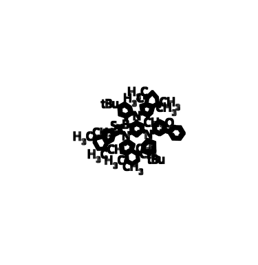 Cc1cc2c(cc1N1c3ccc(C(C)(C)C)cc3B3c4sc5cc6c(cc5c4N(c4ccc5c(c4)C(C)(C)CCC5(C)C)c4cc(N(c5ccc(C(C)(C)C)cc5)c5ccc7oc8ccccc8c7c5)cc1c43)C(C)(C)CCC6(C)C)C(C)(C)CCC2(C)C